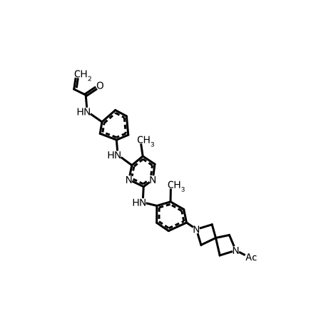 C=CC(=O)Nc1cccc(Nc2nc(Nc3ccc(N4CC5(CN(C(C)=O)C5)C4)cc3C)ncc2C)c1